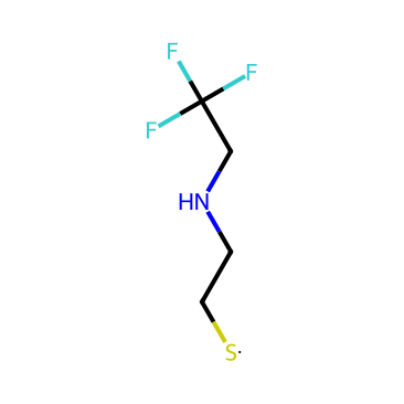 FC(F)(F)CNCC[S]